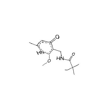 COc1[nH]c(C)cc(=O)c1CNC(=O)C(C)(C)C